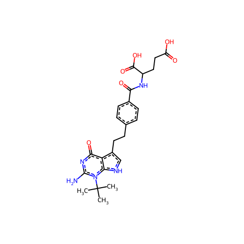 CC(C)(C)n1c(N)nc(=O)c2c(CCc3ccc(C(=O)NC(CCC(=O)O)C(=O)O)cc3)c[nH]c21